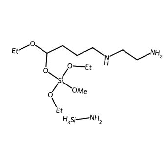 CCOC(CCCNCCN)O[Si](OC)(OCC)OCC.N[SiH3]